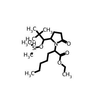 CCCCCC(C(=O)OCC)N1C(=O)CCC1C(O[SiH](C)C)C(C)(C)C